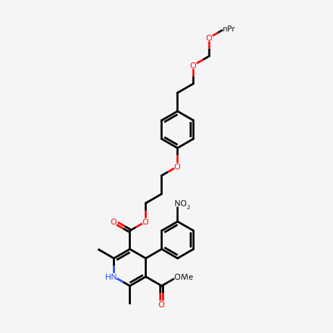 CCCOCOCCc1ccc(OCCCOC(=O)C2=C(C)NC(C)=C(C(=O)OC)C2c2cccc([N+](=O)[O-])c2)cc1